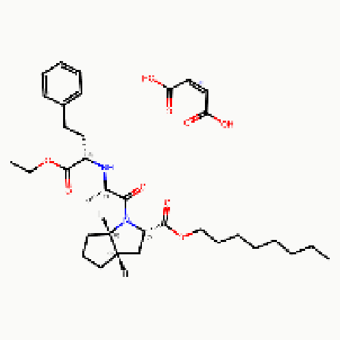 CCCCCCCCOC(=O)[C@@H]1C[C@@H]2CCC[C@@H]2N1C(=O)[C@H](C)N[C@@H](CCc1ccccc1)C(=O)OCC.O=C(O)/C=C\C(=O)O